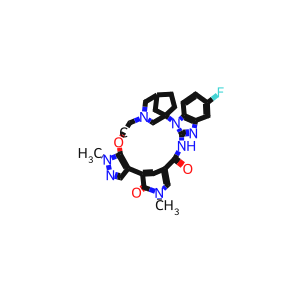 Cn1ncc2c1OCCN1CC3CCC(C3)(C1)n1c(nc3cc(F)ccc31)NC(=O)c1cc-2c(=O)n(C)c1